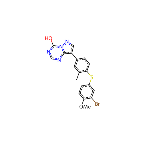 COc1ccc(Sc2ccc(-c3cnn4c(O)ncnc34)cc2C)cc1Br